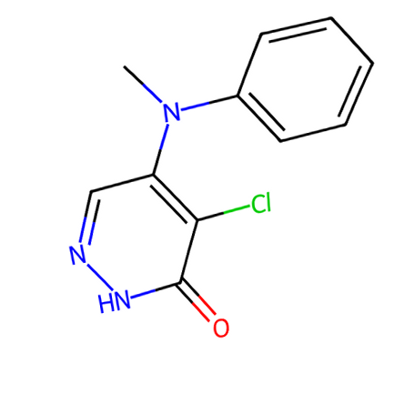 CN(c1ccccc1)c1cn[nH]c(=O)c1Cl